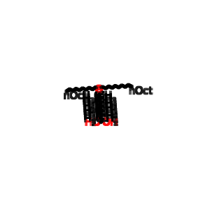 C=C.C=C.C=C.C=C.C=C.C=C.C=C.C=C.C=C.C=C.CCCCCCCC/C=C\CCCCCCCCOCCCCCCCC/C=C\CCCCCCCC.OCCO